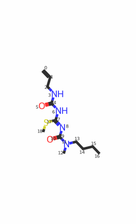 C=CCNC(=O)NC(=NC(=O)N(C)CCCC)SC